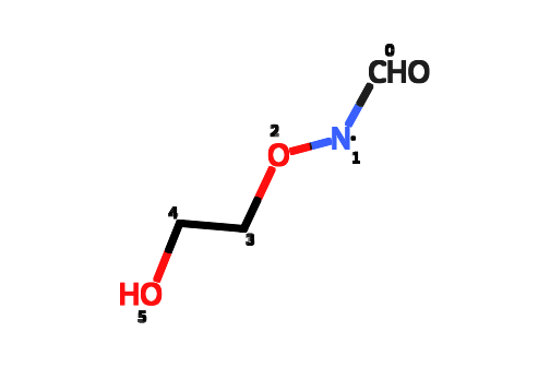 O=C[N]OCCO